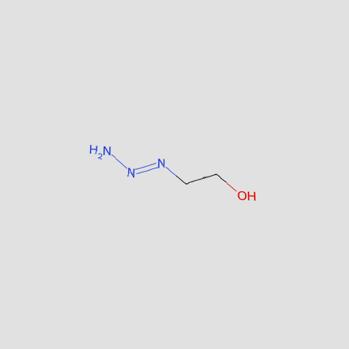 NN=NCCO